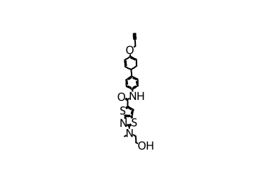 C#CCOC1=CCC(c2ccc(NC(=O)c3cc4sc(N(C)CCO)nc4s3)cc2)C=C1